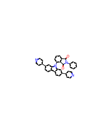 O=C1c2cccc(-n3c4cc(-c5ccncc5)ccc4c4ccc(-c5ccncc5)cc43)c2C(=O)N1c1ccccc1